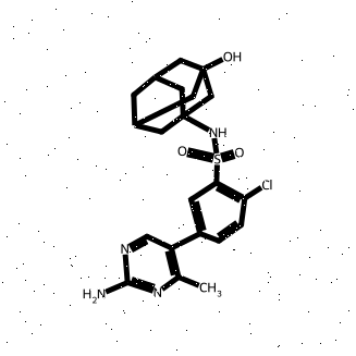 Cc1nc(N)ncc1-c1ccc(Cl)c(S(=O)(=O)NC23CC4CC(CC(O)(C4)C2)C3)c1